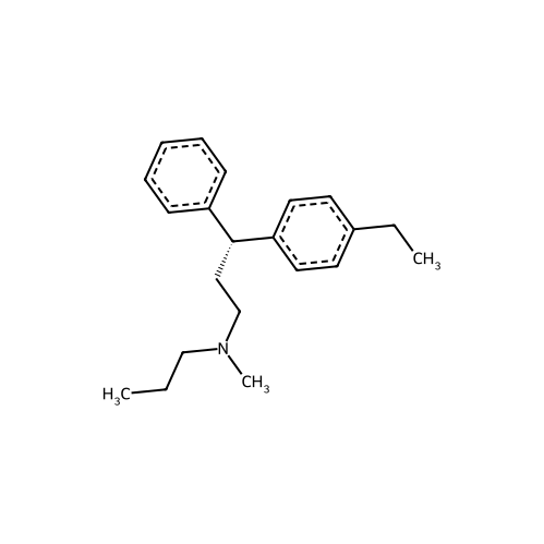 CCCN(C)CC[C@H](c1ccccc1)c1ccc(CC)cc1